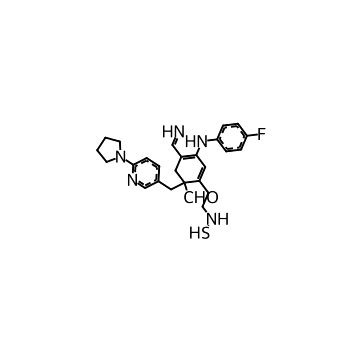 N=CC1=C(Nc2ccc(F)cc2)C=C(CCNS)C(C=O)(Cc2ccc(N3CCCC3)nc2)C1